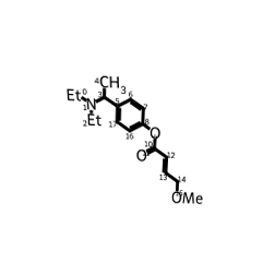 CCN(CC)C(C)c1ccc(OC(=O)C=CCOC)cc1